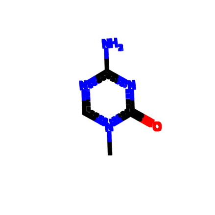 Cn1cnc(N)nc1=O